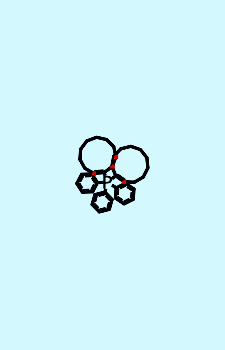 C1=C(P(C2=CCCCCCCCCC2)(c2ccccc2)(c2ccccc2)c2ccccc2)CCCCCCCCC1